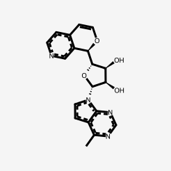 Cc1ncnc2c1ccn2[C@@H]1O[C@H]([C@@H]2OC=Cc3ccncc32)[C@@H](O)[C@H]1O